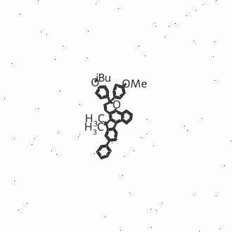 CCC(C)Oc1ccc(C2(c3ccc(OC)cc3)C=Cc3c4c(c5ccccc5c3O2)-c2ccc(-c3ccccc3)cc2C4(C)C)cc1